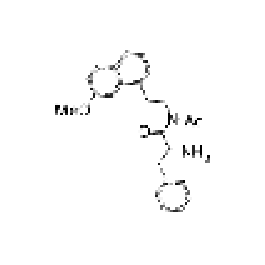 COc1ccc2cccc(CCN(C(C)=O)C(=O)C(N)Cc3ccccc3)c2c1